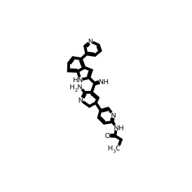 CCC(=O)Nc1ccc(C2C=C(C(=N)c3cc4c(-c5cccnc5)cccc4[nH]3)C(N)=NC2)cn1